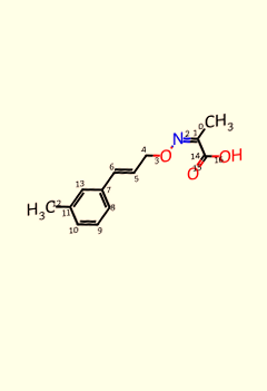 CC(=NOCC=Cc1cccc(C)c1)C(=O)O